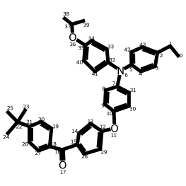 CCc1ccc(N(c2ccc(Oc3ccc(C(=O)c4ccc(C(C)(C)C)cc4)cc3)cc2)c2ccc(OC(C)C)cc2)cc1